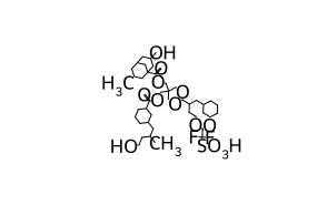 CC(CCO)CC1CCCC(C(=O)OCC2(COC(=O)C34CC(C)CC(CC(O)C3)C4)COC(C(CCOC(=O)C(F)(F)S(=O)(=O)O)CC3CCCCC3)OC2)C1